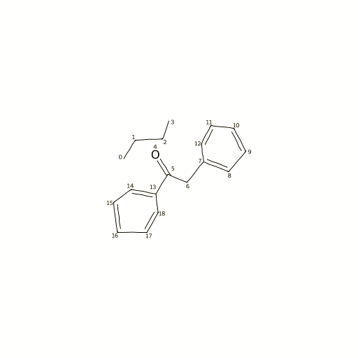 CCCC.O=C(Cc1ccccc1)c1ccccc1